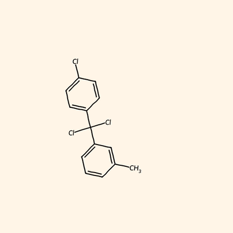 Cc1cccc(C(Cl)(Cl)c2ccc(Cl)cc2)c1